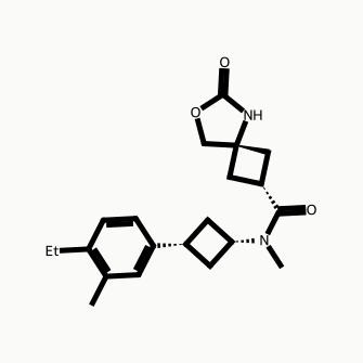 CCc1ccc([C@H]2C[C@@H](N(C)C(=O)[C@H]3C[C@]4(COC(=O)N4)C3)C2)cc1C